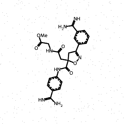 COC(=O)CNC(=O)CC1(C(=O)Nc2ccc(C(=N)N)cc2)CC(c2cccc(C(=N)N)c2)=NO1